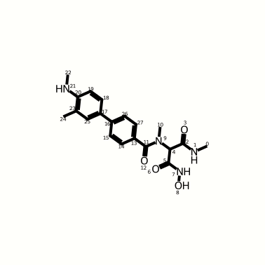 CNC(=O)C(C(=O)NO)N(C)C(=O)c1ccc(-c2ccc(NC)c(C)c2)cc1